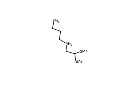 COC(C[SiH2]CCCN)OC